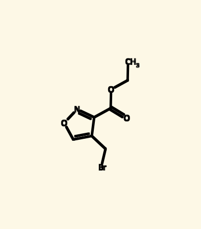 CCOC(=O)c1nocc1CBr